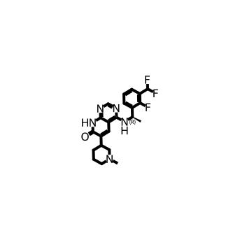 C[C@@H](Nc1ncnc2[nH]c(=O)c(C3CCCN(C)C3)cc12)c1cccc(C(F)F)c1F